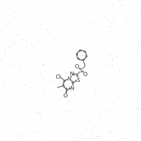 Cc1c(Cl)n2nc(S(=O)(=O)Cc3ccccc3)sc2nc1=O